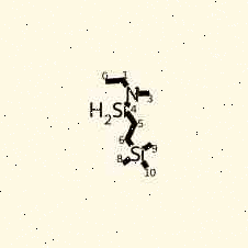 CCN(C)[SiH2]CC[Si](C)(C)C